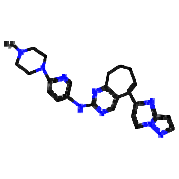 CN1CCN(c2ccc(Nc3ncc4c(n3)CCCC=C4c3ccn4nccc4n3)cn2)CC1